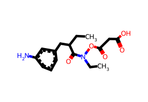 CCC(Cc1cccc(N)c1)C(=O)N(CC)OC(=O)CC(=O)O